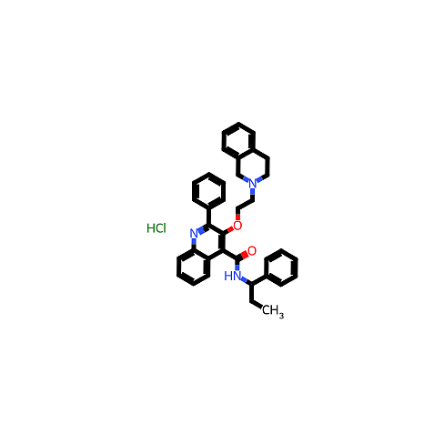 CCC(NC(=O)c1c(OCCN2CCc3ccccc3C2)c(-c2ccccc2)nc2ccccc12)c1ccccc1.Cl